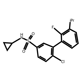 CC(C)c1cccc(-c2cc(S(=O)(=O)NC3CC3)ccc2Cl)c1F